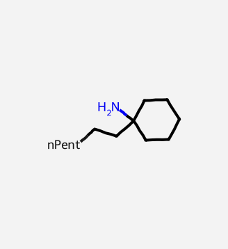 CCCCCCCC1(N)CCCCC1